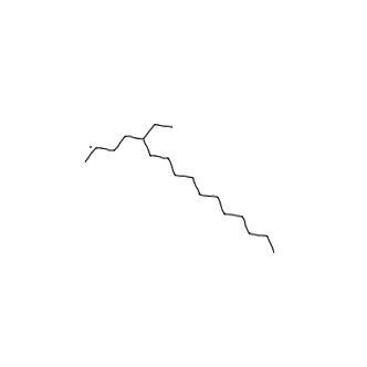 C[CH]CCC(CC)CCCCCCCCCCC